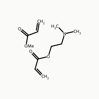 C=CC(=O)OC.C=CC(=O)OCCN(C)C